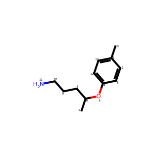 Cc1ccc(OC(C)CCCN)cc1